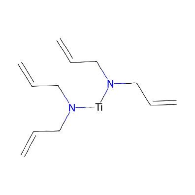 C=CC[N](CC=C)[Ti][N](CC=C)CC=C